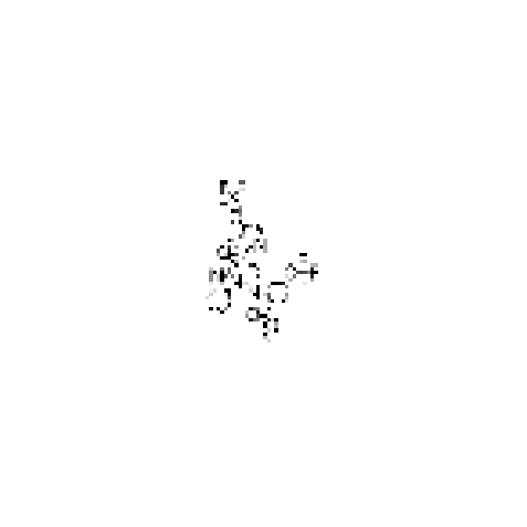 CCOC(=O)c1ccc(OC(F)(F)F)cc1N(C)C(=O)n1c([S+]([O-])Cc2nccc(OCC(F)(F)F)c2C)nc2ccccc21